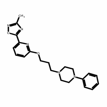 Cc1noc(-c2cccc(OCCCN3CCN(c4ccccc4)CC3)n2)n1